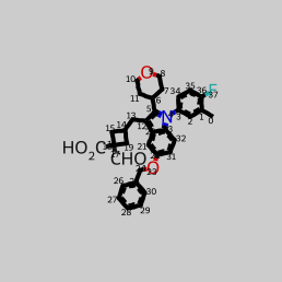 Cc1cc(-n2c(C3CCOCC3)c(CC3CC(C=O)(C(=O)O)C3)c3cc(OCc4ccccc4)ccc32)ccc1F